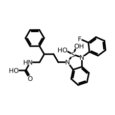 O=C(O)NCC(CCN1c2ccccc2N(c2ccccc2F)S1(O)O)c1ccccc1